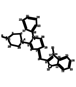 CN1CCN(C2=CC(=Cc3oc4ccccc4[n+]3C)C=CN2c2ccccc2)CC1